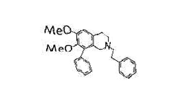 COc1cc2c(c(-c3ccccc3)c1OC)CN(CCc1ccccc1)CC2